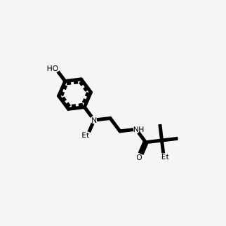 CCN(CCNC(=O)C(C)(C)CC)c1ccc(O)cc1